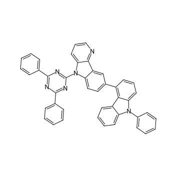 c1ccc(-c2nc(-c3ccccc3)nc(-n3c4ccc(-c5cccc6c5c5ccccc5n6-c5ccccc5)cc4c4ncccc43)n2)cc1